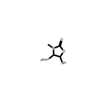 CCCCCC1C(CCC)OC(=O)N1C